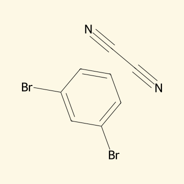 Brc1cccc(Br)c1.N#CC#N